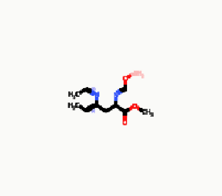 BOC=NC(CC(=C/C)/N=C\C)C(=O)OC